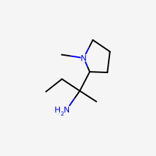 CCC(C)(N)C1CCCN1C